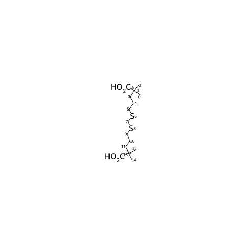 CC(C)(CCCSCSCCCC(C)(C)C(=O)O)C(=O)O